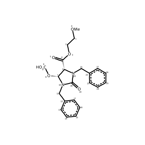 COCCOC(=O)[C@H]1[C@@H](OC(=O)O)N(Cc2ccccc2)C(=O)N1Cc1ccccc1